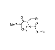 CON(C)C(=O)[C@@H](CC(C)C)NC(=O)OC(C)(C)C